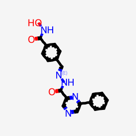 O=C(NO)c1ccc(/C=N/NC(=O)c2cncc(-c3ccccc3)n2)cc1